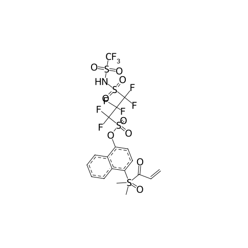 C=CC(=O)S(C)(C)(=O)c1ccc(OS(=O)(=O)C(F)(F)C(F)(F)C(F)(F)S(=O)(=O)NS(=O)(=O)C(F)(F)F)c2ccccc12